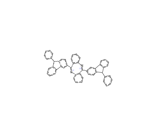 c1ccc(C2c3ccccc3-c3cc(/C4=N/c5ccccc5/C(c5ccc6c(c5)-c5ccccc5C6c5ccccc5)=N\c5ccccc54)ccc32)cc1